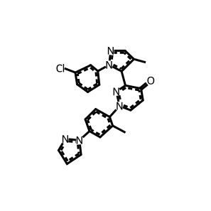 Cc1cc(-n2cccn2)ccc1-n1ccc(=O)c(-c2c(C)cnn2-c2cccc(Cl)c2)n1